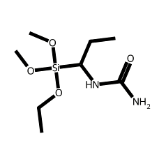 CCO[Si](OC)(OC)C(CC)NC(N)=O